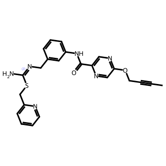 CC#CCOc1cnc(C(=O)Nc2cccc(C/N=C(/N)SCc3ccccn3)c2)cn1